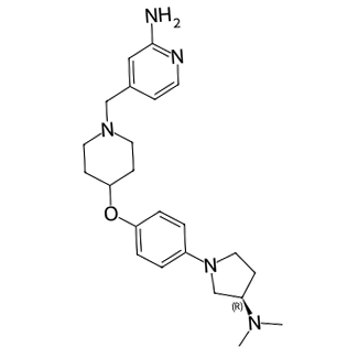 CN(C)[C@@H]1CCN(c2ccc(OC3CCN(Cc4ccnc(N)c4)CC3)cc2)C1